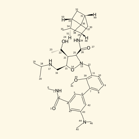 CNC(=O)c1cc(-c2cccc(CN3O[C@@H](CNC(C)C)[C@@H]([C@H](C)O)[C@H]3C(=O)N[C@H]3C[C@H]4C[C@@H]([C@@H]3C)C4(C)C)c2OC)cc(N(C)C)c1